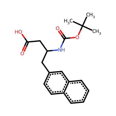 CC(C)(C)OC(=O)NC(CC(=O)O)Cc1ccc2ccccc2c1